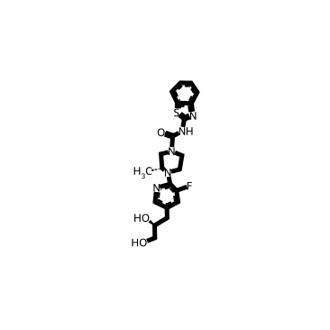 C[C@@H]1CN(C(=O)Nc2nc3ccccc3s2)CCN1c1ncc(C[C@H](O)CO)cc1F